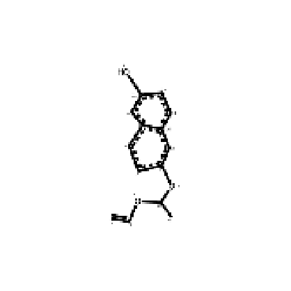 C=COC(C)Oc1ccc2cc(O)ccc2c1